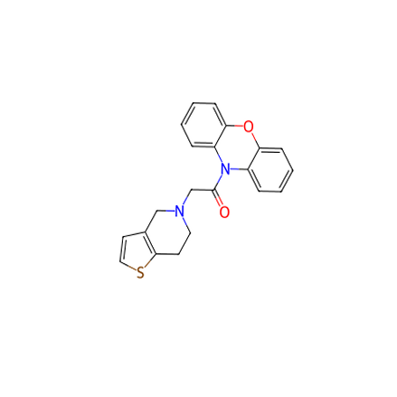 O=C(CN1CCc2sccc2C1)N1c2ccccc2Oc2ccccc21